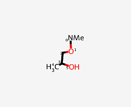 CNOCC(C)O